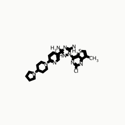 Cc1csc2c(N3NC(N)(c4ccc(N5CCC(N6CCCC6)CC5)nc4)N=C3N)nc(Cl)nc12